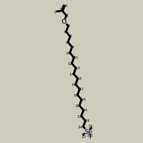 C=C(C)COCCCCCCCCCCCCCCCCCCCC[Si](C)(C)F